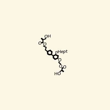 C=C(CO)C(=O)OCCCc1ccc(-c2ccc(OCCOC(=O)C(=C)CO)cc2CCCCCCC)cc1